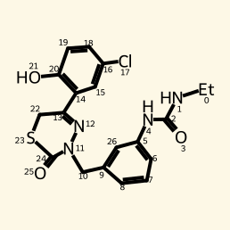 CCNC(=O)Nc1cccc(CN2N=C(c3cc(Cl)ccc3O)CSC2=O)c1